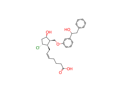 O=C(O)CCC/C=C\C[C@@H]1[C@H](COc2cccc(C(O)Cc3ccccc3)c2)[C@H](O)C[C@H]1Cl